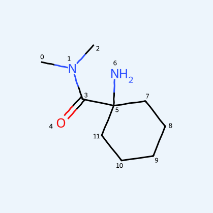 CN(C)C(=O)C1(N)CCCCC1